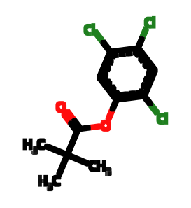 CC(C)(C)C(=O)Oc1cc(Cl)c(Cl)cc1Cl